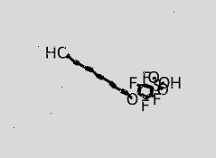 C#CC#CC#CC#CC#CC#COc1c(F)c(F)c(S(=O)(=O)O)c(F)c1F